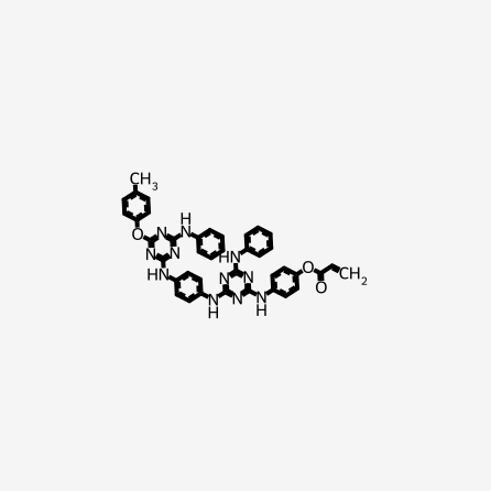 C=CC(=O)Oc1ccc(Nc2nc(Nc3ccccc3)nc(Nc3ccc(Nc4nc(Nc5ccccc5)nc(Oc5ccc(C)cc5)n4)cc3)n2)cc1